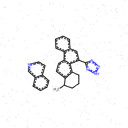 CC1CCCc2c1ccc1c2c(-c2nn[nH]n2)cc2ccccc21.c1ccc2cnccc2c1